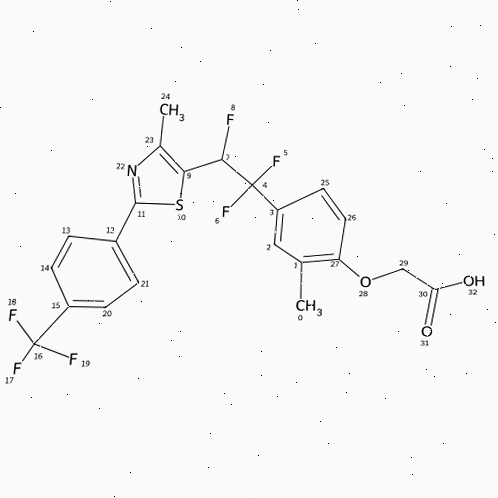 Cc1cc(C(F)(F)C(F)c2sc(-c3ccc(C(F)(F)F)cc3)nc2C)ccc1OCC(=O)O